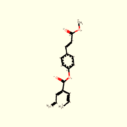 C=C/C=C(\C=C/C)C(=O)Oc1ccc(/C=C/C(=O)OC)cc1